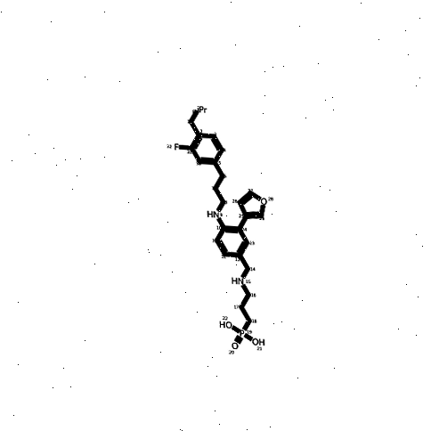 CC(C)Cc1ccc(CCCNc2ccc(CNCCCP(=O)(O)O)cc2-c2ccoc2)cc1F